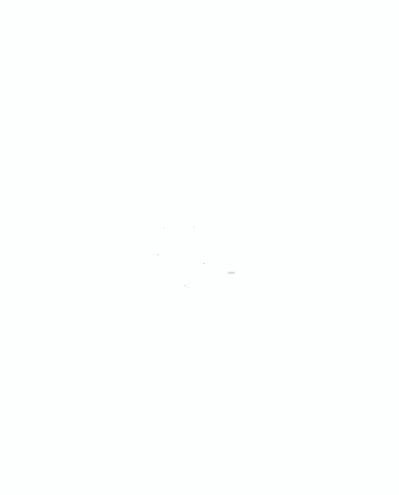 CCOC(=O)C(C)Sc1nc(N)c2nc(O)n(Cc3ccccc3)c2n1